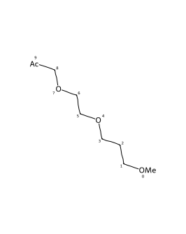 COCCCOCCOCC(C)=O